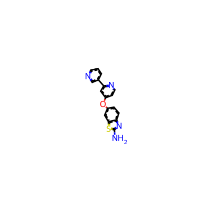 Nc1nc2ccc(Oc3ccnc(-c4cccnc4)c3)cc2s1